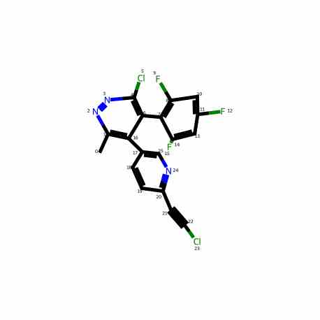 Cc1nnc(Cl)c(-c2c(F)cc(F)cc2F)c1-c1ccc(C#CCl)nc1